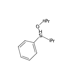 CCCO[SiH](c1ccccc1)C(C)C